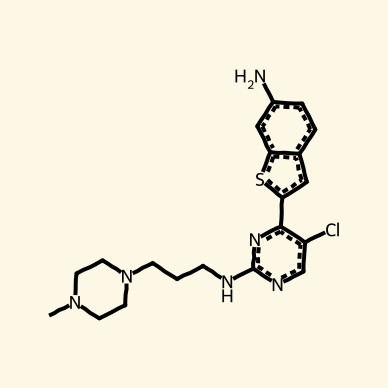 CN1CCN(CCCNc2ncc(Cl)c(-c3cc4ccc(N)cc4s3)n2)CC1